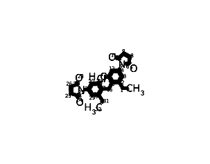 CCc1cc(N2C(=O)C=CC2=O)cc(C)c1Cc1c(C)cc(N2C(=O)C=CC2=O)cc1CC